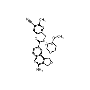 CO[C@H]1CCOC[C@@H]1N(Cc1ccc(C#N)c(C)n1)C(=O)c1ccc2nc(N)c3c(c2c1)COC3